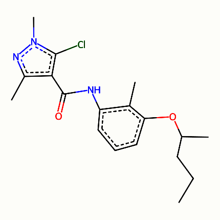 CCCC(C)Oc1cccc(NC(=O)c2c(C)nn(C)c2Cl)c1C